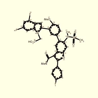 CNC(=O)c1c(-c2ccc(F)cc2)oc2cc(N(C)S(C)(=O)=O)c(-c3ccc(OC)c(-c4cc5c(F)cc(F)cc5n4CC(=O)O)c3)cc12